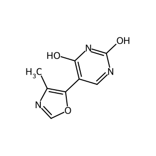 Cc1ncoc1-c1cnc(O)nc1O